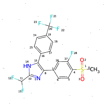 CS(=O)(=O)c1ccc(-c2nc(C(F)F)[nH]c2-c2ccc(C(F)(F)F)cc2)cc1F